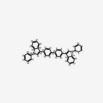 C1=CCC(n2cc(-c3ccc(-c4ccc(-c5cn(-c6ccccc6)c6ccccc56)cc4)cc3)c3ccccc32)C=C1